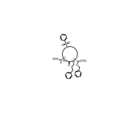 CN(C=O)[C@H]1CCCN(S(=O)(=O)c2ccccc2)CCCCO[C@H](N(C=O)OCc2ccccc2)[C@@H](CCCc2ccccc2)C(=O)N1